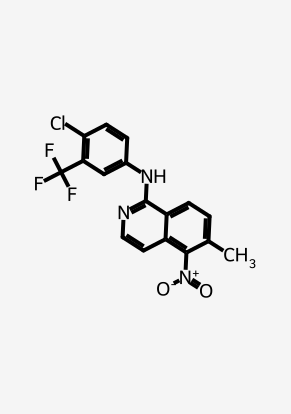 Cc1ccc2c(Nc3ccc(Cl)c(C(F)(F)F)c3)nccc2c1[N+](=O)[O-]